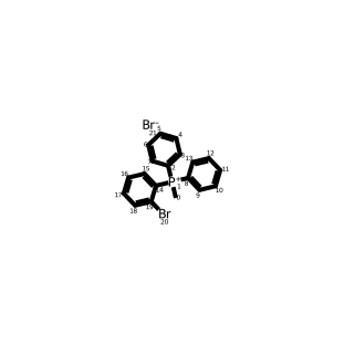 C[P+](c1ccccc1)(c1ccccc1)c1ccccc1Br.[Br-]